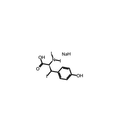 O=C(O)[C@H](C(I)c1ccc(O)cc1)N(I)I.[NaH]